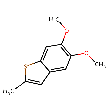 COc1cc2cc(C)sc2cc1OC